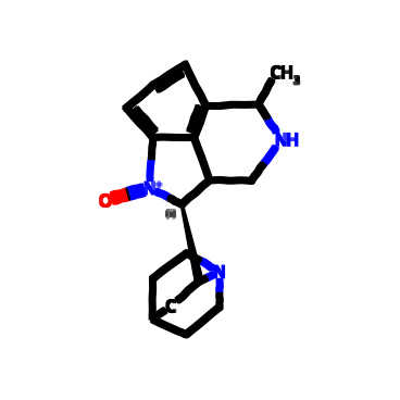 CC1NCC2c3c1cccc3[N+](=O)[C@@H]2C1CC2CCN1CC2